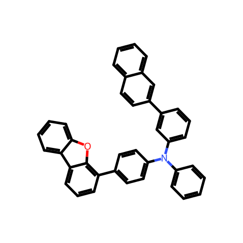 c1ccc(N(c2ccc(-c3cccc4c3oc3ccccc34)cc2)c2cccc(-c3ccc4ccccc4c3)c2)cc1